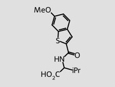 COc1ccc2cc(C(=O)NC(C(=O)O)C(C)C)sc2c1